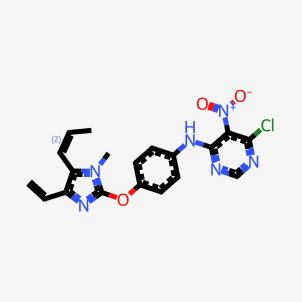 C=Cc1nc(Oc2ccc(Nc3ncnc(Cl)c3[N+](=O)[O-])cc2)n(C)c1/C=C\C